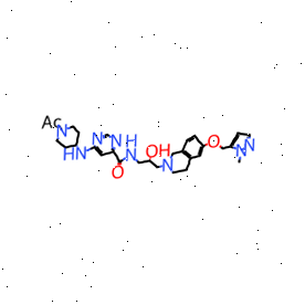 CC(=O)N1CCC(Nc2cc(C(=O)NC[C@H](O)CN3CCc4cc(OCc5ccnn5C)ccc4C3)ncn2)CC1